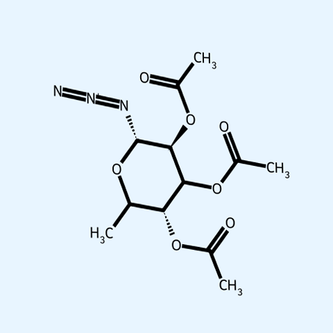 CC(=O)OC1[C@H](OC(C)=O)C(C)O[C@H](N=[N+]=[N-])[C@H]1OC(C)=O